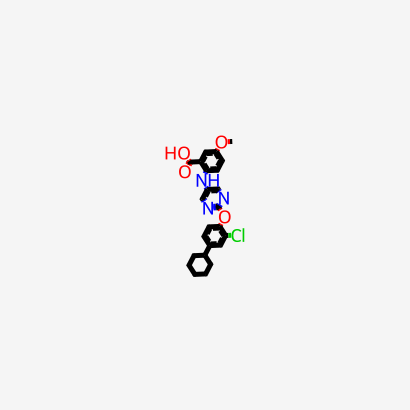 COc1ccc(Nc2cnc(Oc3ccc(C4CCCCC4)cc3Cl)nc2)c(C(=O)O)c1